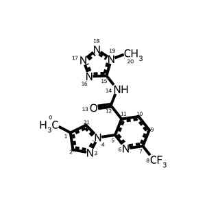 Cc1cnn(-c2nc(C(F)(F)F)ccc2C(=O)Nc2nnnn2C)c1